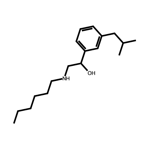 CCCCCCNCC(O)c1cccc(CC(C)C)c1